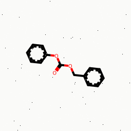 O=C(OCc1ccccc1)Oc1c[c]ccc1